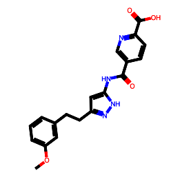 COc1cccc(CCc2cc(NC(=O)c3ccc(C(=O)O)nc3)[nH]n2)c1